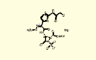 CCCCO/N=C(\C(=O)N[C@H]1C(=O)N(S(=O)(=O)[O-])[C@H]1C(=O)OC)c1csc(NC(=O)CCl)n1.[Na+]